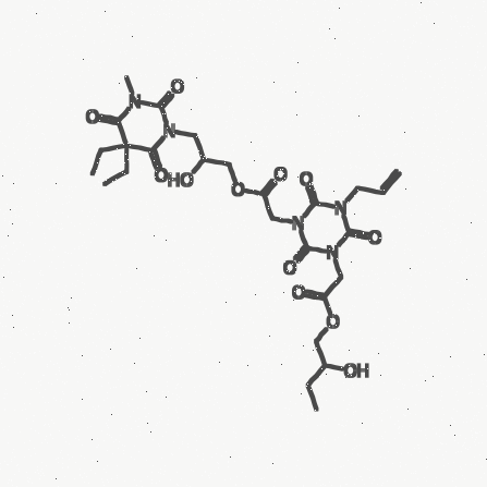 C=CCn1c(=O)n(CC(=O)OCC(O)CC)c(=O)n(CC(=O)OCC(O)CN2C(=O)N(C)C(=O)C(CC)(CC)C2=O)c1=O